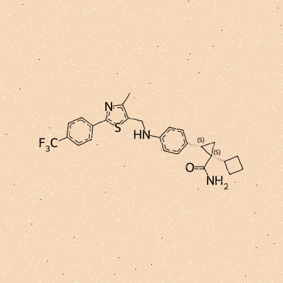 Cc1nc(-c2ccc(C(F)(F)F)cc2)sc1CNc1ccc([C@@H]2C[C@]2(C(N)=O)C2CCC2)cc1